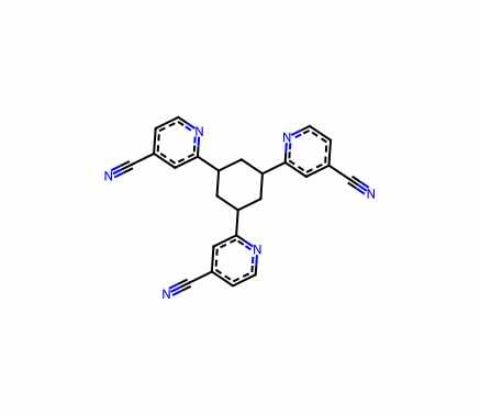 N#Cc1ccnc(C2CC(c3cc(C#N)ccn3)CC(c3cc(C#N)ccn3)C2)c1